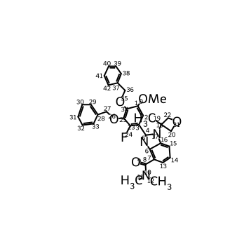 COc1cc(-c2nc3c(C(=O)N(C)C)cccc3n2C2(C)COC2)c(F)c(OCc2ccccc2)c1OCc1ccccc1